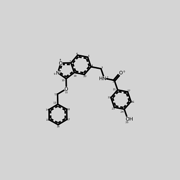 O=C(NCc1ccc2onc(OCc3ccccc3)c2c1)c1ccc(O)cc1